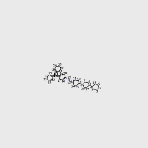 C1=CCCC(c2ccc(-c3ccc(/C=C/c4ccc5c(c4)c4ccccc4n5-c4ccccc4)cc3)cc2)=C1